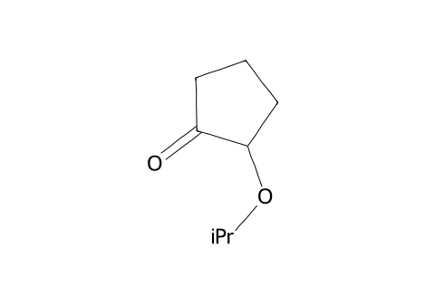 CC(C)OC1CCCC1=O